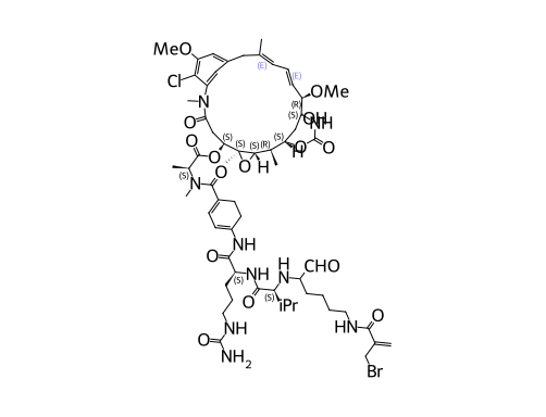 C=C(CBr)C(=O)NCCCCC(C=O)N[C@H](C(=O)N[C@@H](CCCNC(N)=O)C(=O)NC1=CC=C(C(=O)N(C)[C@@H](C)C(=O)O[C@H]2CC(=O)N(C)c3cc(cc(OC)c3Cl)C/C(C)=C/C=C/[C@@H](OC)[C@@]3(O)C[C@H](OC(=O)N3)[C@@H](C)[C@@H]3O[C@@]23C)CC1)C(C)C